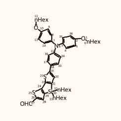 CCCCCCOc1ccc(N(c2ccc(OCCCCCC)cc2)c2ccc(-c3cc4c(s3)-c3sc(C=O)cc3[Si]4(CCCCCC)CCCCCC)cc2)cc1